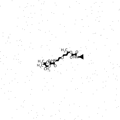 C[C@@H](CCOCCNC(=O)C(=O)O[C@H](C)C(C)(C)C)OC(=O)C(=O)NC1CC1